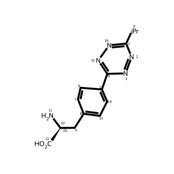 CC(C)c1nnc(-c2ccc(C[C@H](N)C(=O)O)cc2)nn1